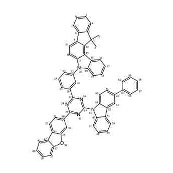 CC1(C)c2ccccc2-c2ccc3c(c21)c1ccccc1n3-c1cccc(-c2nc(-c3ccc4c(c3)oc3ccccc34)nc(-n3c4ccccc4c4cc(-c5ccccc5)ccc43)n2)c1